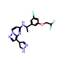 CC(Nc1ccn2ncc(C3C=NNC3)c2n1)c1cc(F)cc(OCC(F)F)c1